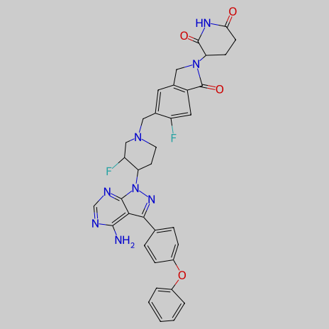 Nc1ncnc2c1c(-c1ccc(Oc3ccccc3)cc1)nn2C1CCN(Cc2cc3c(cc2F)C(=O)N(C2CCC(=O)NC2=O)C3)CC1F